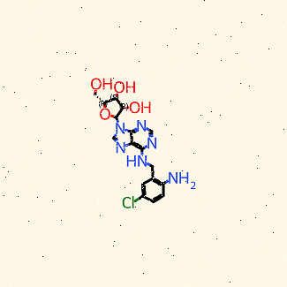 Nc1ccc(Cl)cc1CNc1ncnc2c1ncn2C1O[C@H](CO)[C@@H](O)[C@H]1O